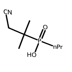 CCCP(=O)(O)C(C)(C)CC#N